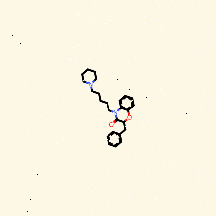 O=C1C(Cc2ccccc2)Oc2ccccc2N1CCCCCN1CCCCC1